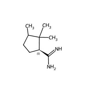 CC1CC[C@H](C(=N)N)C1(C)C